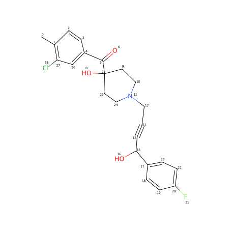 Cc1ccc(C(=O)C2(O)CCN(CC#CC(O)c3ccc(F)cc3)CC2)cc1Cl